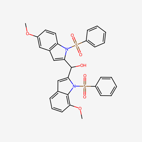 COc1ccc2c(c1)cc(C(O)c1cc3cccc(OC)c3n1S(=O)(=O)c1ccccc1)n2S(=O)(=O)c1ccccc1